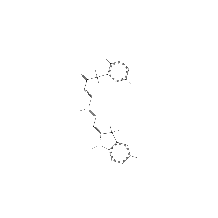 C=C(/C=C/C(Cl)=C/C=C1/N(C)c2ccc(F)cc2C1(C)C)C(C)(C)c1cc(F)ccc1C